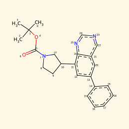 CC(C)(C)OC(=O)N1CCC(c2cc(-c3ccccc3)cc3cncnc23)C1